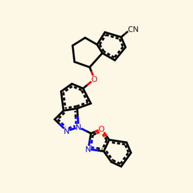 N#Cc1ccc2c(c1)CCCC2Oc1ccc2cnn(-c3nc4ccccc4o3)c2c1